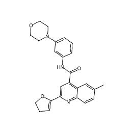 Cc1ccc2nc(C3=CCCO3)cc(C(=O)Nc3cccc(N4CCOCC4)c3)c2c1